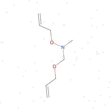 C=CCOCN(C)OCC=C